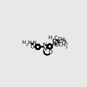 CC1(C)OB(c2cc3c4c(c2)nc(-c2ccc5oc(N)nc5c2)n4CCCCO3)OC1(C)C